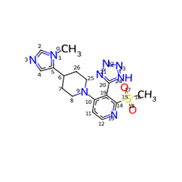 Cn1cncc1C1CCN(c2ccnc(S(C)(=O)=O)c2-c2nnn[nH]2)CC1